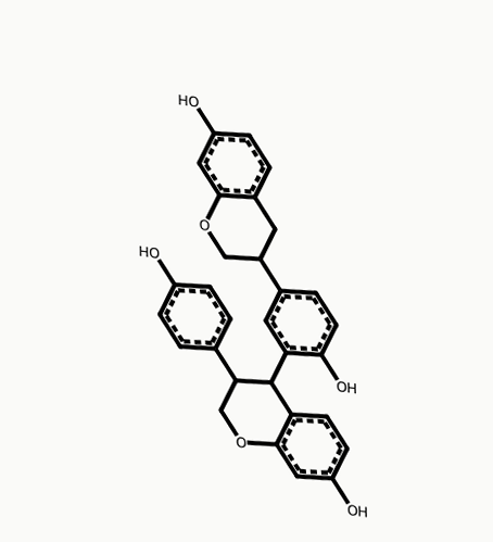 Oc1ccc(C2COc3cc(O)ccc3C2c2cc(C3COc4cc(O)ccc4C3)ccc2O)cc1